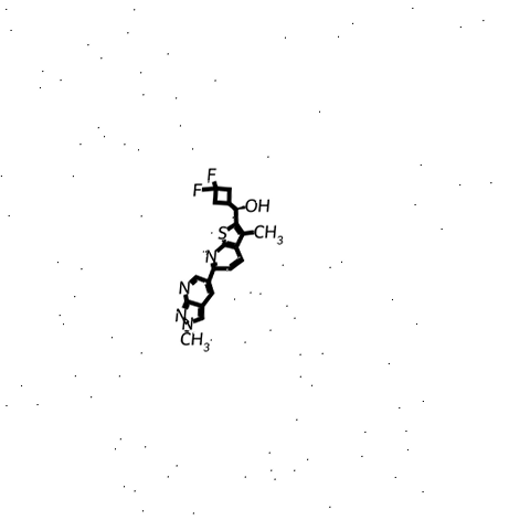 Cc1c([C@H](O)C2CC(F)(F)C2)sc2nc(-c3cnc4nn(C)cc4c3)ccc12